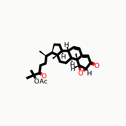 CC(=O)OC(C)(C)C(=O)CC[C@@H](C)[C@H]1CC[C@H]2[C@@H]3C=CC4=CC(=O)[C@@H]5O[C@@H]5[C@]4(C)[C@H]3CC[C@]12C